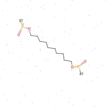 CC[PH](=O)OCCCCCCCCCCO[PH](=O)CC